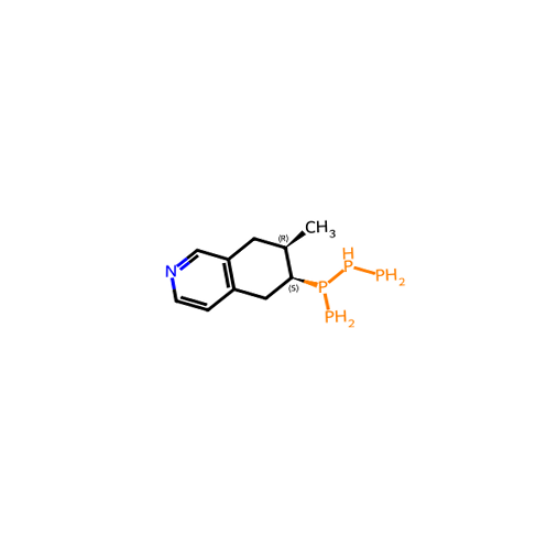 C[C@@H]1Cc2cnccc2C[C@@H]1P(P)PP